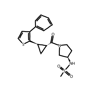 CS(=O)(=O)N[C@@H]1CCN(C(=O)[C@@H]2C[C@H]2c2sccc2-c2ccccc2)C1